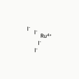 [I-].[I-].[I-].[I-].[Ru+4]